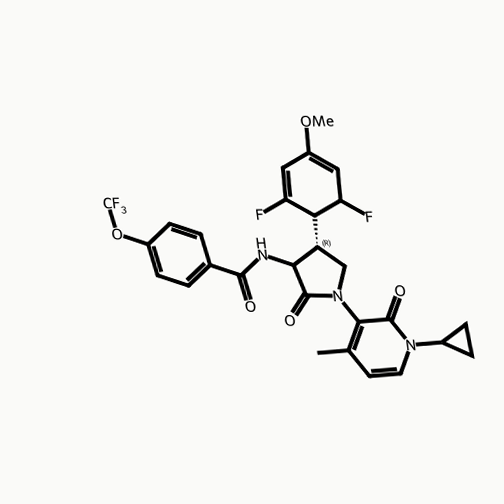 COC1=CC(F)C([C@@H]2CN(c3c(C)ccn(C4CC4)c3=O)C(=O)C2NC(=O)c2ccc(OC(F)(F)F)cc2)C(F)=C1